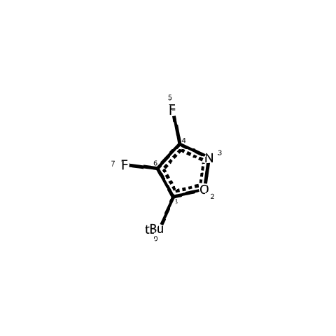 CC(C)(C)c1onc(F)c1F